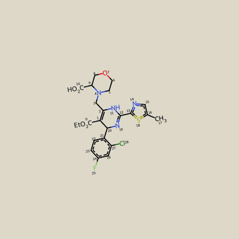 CCOC(=O)C1=C(CN2CCOCC2C(=O)O)NC(c2ncc(C)s2)=NC1c1ccc(F)cc1Cl